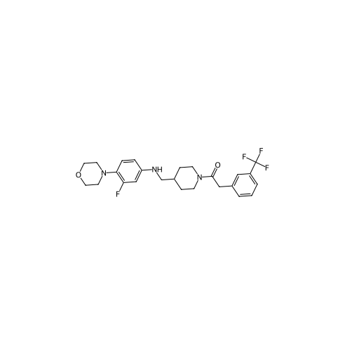 O=C(Cc1cccc(C(F)(F)F)c1)N1CCC(CNc2ccc(N3CCOCC3)c(F)c2)CC1